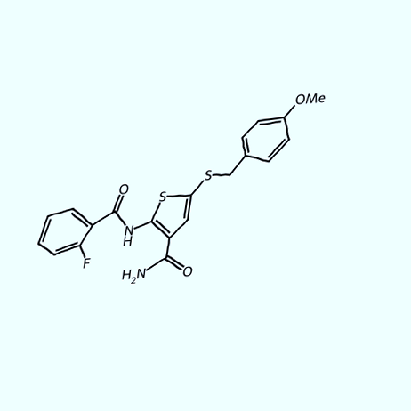 COc1ccc(CSc2cc(C(N)=O)c(NC(=O)c3ccccc3F)s2)cc1